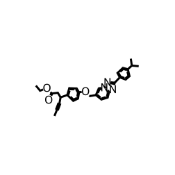 CC#CC(CC(=O)OCC)c1ccc(OCc2ccc3nc(-c4ccc(C(C)C)cc4)nn3c2)cc1